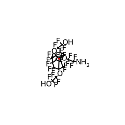 NC(F)(F)C(F)(F)OC12C(F)(F)C3(F)C(F)(F)C(OC(F)(F)C(O)(F)F)(C1(F)F)C(F)(F)C(OC(F)(F)C(O)(F)F)(C3(F)F)C2(F)F